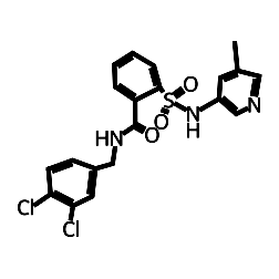 Cc1cncc(NS(=O)(=O)c2ccccc2C(=O)NCc2ccc(Cl)c(Cl)c2)c1